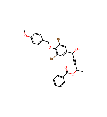 COc1ccc(COc2c(Br)cc(C(O)C#CC(C)OC(=O)c3ccccc3)cc2Br)cc1